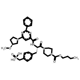 CCCCOC(=O)N1CCN(C(=O)[C@H](Cc2ccc(CP(=O)(O)O)cc2)NC(=O)c2cc(N3CC[C@H](OC)C3)nc(-c3ccccc3)n2)CC1